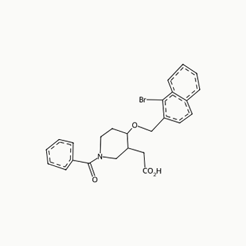 O=C(O)CC1CN(C(=O)c2ccccc2)CCC1OCc1ccc2ccccc2c1Br